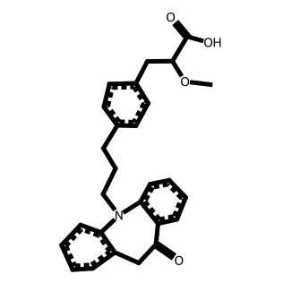 COC(Cc1ccc(CCCN2c3ccccc3CC(=O)c3ccccc32)cc1)C(=O)O